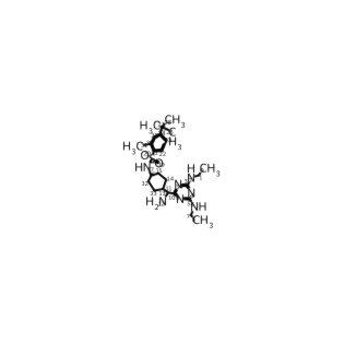 CCNc1nc(NCC)nc(C(N)C2CCC(NS(=O)(=O)c3ccc(C(C)(C)C)cc3C)CC2)n1